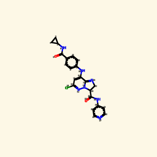 O=C(NC1CC1)c1ccc(NC2=CC(Cl)=NN3C2=NCC3C(=O)Nc2ccncc2)cc1